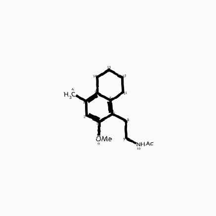 COc1cc(C)c2c(c1CCNC(C)=O)CCCC2